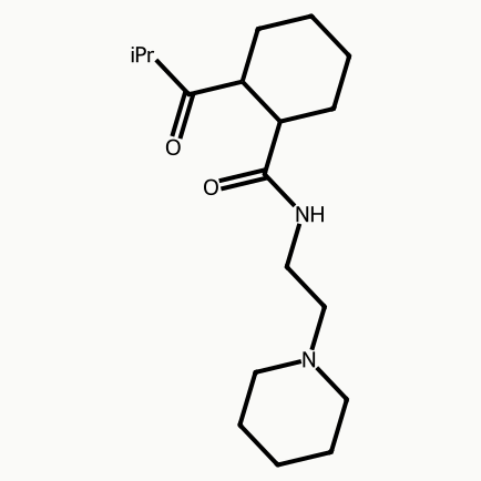 CC(C)C(=O)C1CCCCC1C(=O)NCCN1CCCCC1